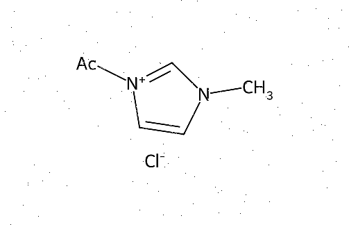 CC(=O)[n+]1ccn(C)c1.[Cl-]